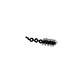 CCCCC1CCC(C2CCC(c3ccc(C(F)(F)C(F)(F)C(F)(F)C(F)(F)C(F)(F)C(F)(F)C(F)(F)C(F)(F)F)cc3)CC2)CC1